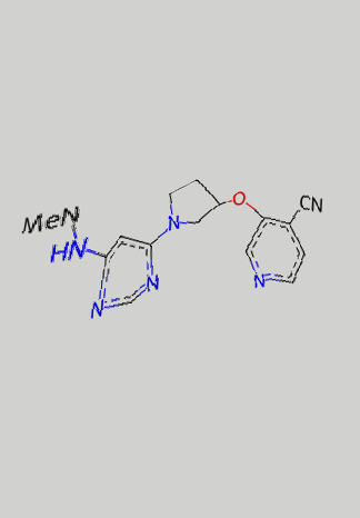 CNNc1cc(N2CCC(Oc3cnccc3C#N)C2)ncn1